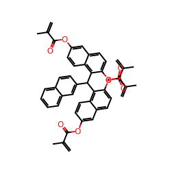 C=C(C)C(=O)Oc1ccc2c(C(c3ccc4ccccc4c3)c3c(OC(=O)C(=C)C)ccc4cc(OC(=O)C(=C)C)ccc34)c(OC(=O)C(=C)C)ccc2c1